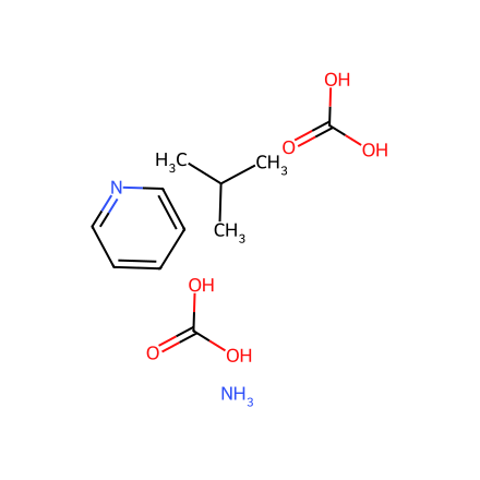 CC(C)C.N.O=C(O)O.O=C(O)O.c1ccncc1